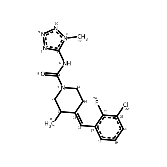 CC1CN(C(=O)Nc2nnnn2C)CCC1=Cc1cccc(Cl)c1F